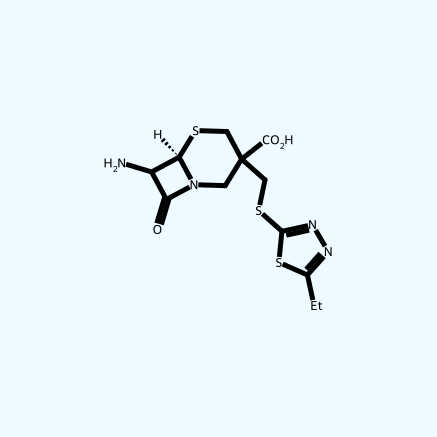 CCc1nnc(SCC2(C(=O)O)CS[C@@H]3C(N)C(=O)N3C2)s1